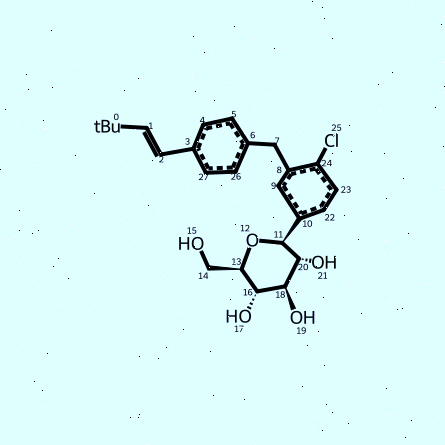 CC(C)(C)/C=C/c1ccc(Cc2cc([C@@H]3O[C@H](CO)[C@@H](O)[C@H](O)[C@H]3O)ccc2Cl)cc1